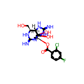 N=C1N[C@H]2[C@H](CO)NC(=N)N3C[C@H](OC(=O)c4ccc(F)cc4Cl)C(O)(O)C23N1